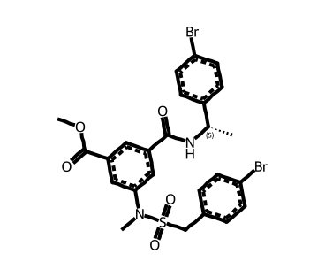 COC(=O)c1cc(C(=O)N[C@@H](C)c2ccc(Br)cc2)cc(N(C)S(=O)(=O)Cc2ccc(Br)cc2)c1